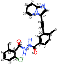 Cc1ccc(C(=O)NNC(=O)c2c(C)cccc2Cl)cc1C#Cc1cnc2ccccn12